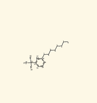 CCCCCCCCc1cccc(C(F)(F)F)n1